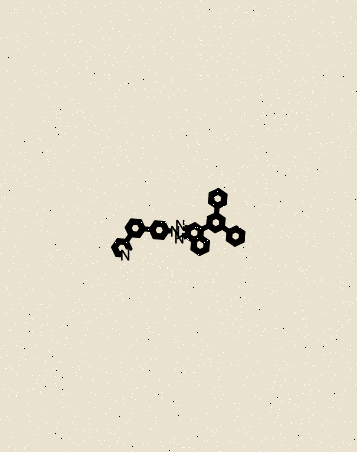 c1ccc(-c2cc(-c3ccccc3)cc(-c3cc4nn(-c5ccc(-c6cccc(-c7cccnc7)c6)cc5)nc4c4ccccc34)c2)cc1